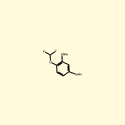 CSc1ccc(OC(F)F)c(SC)c1